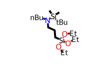 CCCCN(CCC[Si](OCC)(OCC)OCC)[Si](C)(C)C(C)(C)C